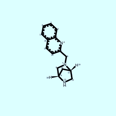 c1ccc2nc(CN3C[C@@H]4C[C@H]3CN4)ccc2c1